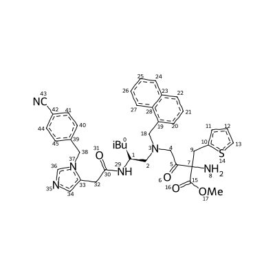 CC[C@H](C)[C@@H](CN(CC(=O)C(N)(Cc1cccs1)C(=O)OC)Cc1cccc2ccccc12)NC(=O)Cc1cncn1Cc1ccc(C#N)cc1